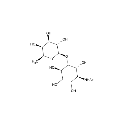 CC(=O)N[C@@H](CO)[C@@H](O)[C@@H](O[C@H]1O[C@@H](C)[C@@H](O)[C@@H](O)[C@@H]1O)[C@H](O)CO